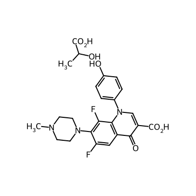 CC(O)C(=O)O.CN1CCN(c2c(F)cc3c(=O)c(C(=O)O)cn(-c4ccc(O)cc4)c3c2F)CC1